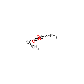 CCCCCCCc1ccc(OC(=O)c2ccc(OCCCC3CCCCC3CCCCC)cc2)cc1